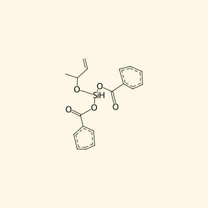 C=CC(C)O[SiH](OC(=O)c1ccccc1)OC(=O)c1ccccc1